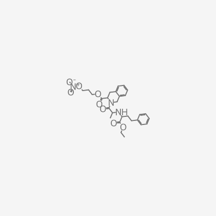 CCOC(=O)C(CCc1ccccc1)NC(C)C(=O)N1Cc2ccccc2CC1C(=O)OCCCO[N+](=O)[O-]